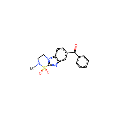 CCN1CCn2c(nc3cc(C(=O)c4ccccc4)ccc32)S1(=O)=O